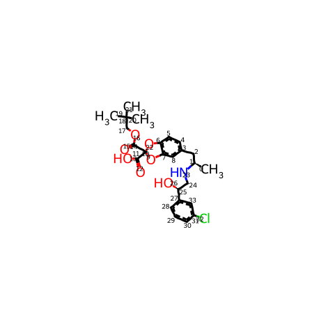 C[C@H](Cc1ccc2c(c1)OC(C(=O)O)(C(=O)OCC(C)(C)C)O2)NC[C@H](O)c1cccc(Cl)c1